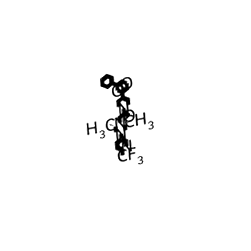 C[C@@H]1CN(c2ccc(C(F)(F)F)nc2)C[C@H](C)N1CC(=O)N1CC=C(C2=COC=C(C3=CC=CCC3)O2)CC1